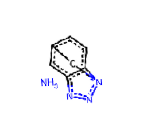 N.c1cc2c3cc1Cn2nn3